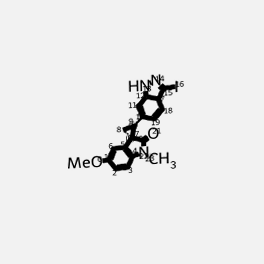 COc1ccc2c(c1)[C@]1(C[C@H]1C1=CC3NN=C(I)C3C=C1)C(=O)N2C